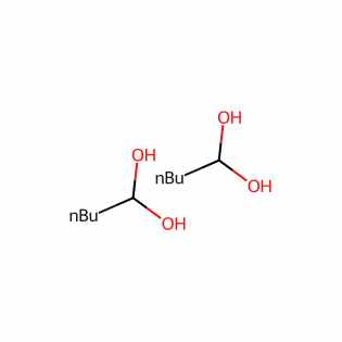 CCCCC(O)O.CCCCC(O)O